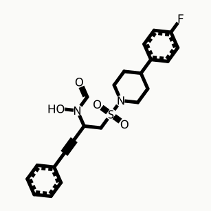 O=CN(O)C(C#Cc1ccccc1)CS(=O)(=O)N1CCC(c2ccc(F)cc2)CC1